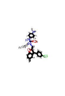 CCCCCCCN(Cc1oc2ccc(C)cc2c1-c1ccc(Cl)cc1)C(=O)Nc1ccc(N(C)C)cc1